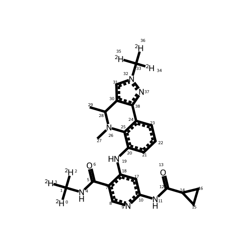 [2H]C([2H])([2H])NC(=O)c1cnc(NC(=O)C2CC2)cc1Nc1cccc2c1N(C)C(C)c1cn(C([2H])([2H])[2H])nc1-2